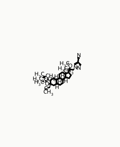 COC[C@@]1(O[Si](C)(C)C(C)(C)C)CC[C@H]2[C@H](CC[C@@H]3[C@@H]2CC[C@]2(C)C([C@](C)(Cn4cc(C#N)cn4)OC)CC[C@@H]32)C1